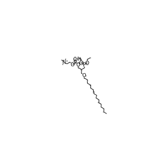 CCCCCCCCCCCCCCCCOCC(COP(O)OCC[N+](C)(C)C)CP(OCC)OCC